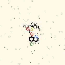 CC(C)(C)SC(=O)COc1ccc(Cl)c2cccnc12